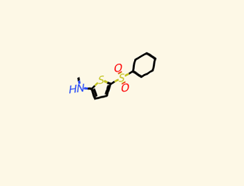 CNc1ccc(S(=O)(=O)C2CCCCC2)s1